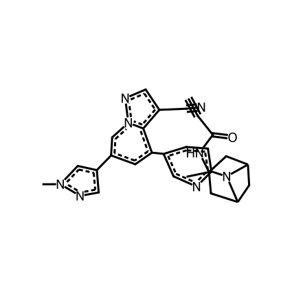 C#CC(=O)NC1(C)CC2CC(C1)N2c1ccc(-c2cc(-c3cnn(C)c3)cn3ncc(C#N)c23)cn1